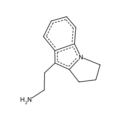 NCCc1c2n(c3ccccc13)CCC2